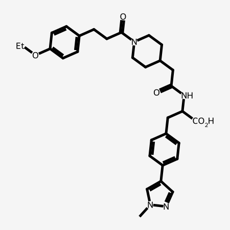 CCOc1ccc(CCC(=O)N2CCC(CC(=O)NC(Cc3ccc(-c4cnn(C)c4)cc3)C(=O)O)CC2)cc1